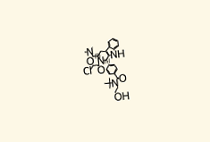 CN(C)C(=O)[C@H]1Cc2c([nH]c3ccccc23)[C@H](c2ccc(C(=O)N(CCO)C(C)(C)C)cc2)N1C(=O)CCl